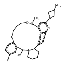 CN1CCCCOc2ccc(F)cc2C(O)N2CCCCC2c2cc3nc(N4CC(N)C4)cc1n3n2